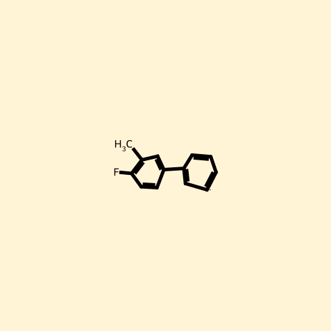 Cc1cc(-c2c[c]ccc2)ccc1F